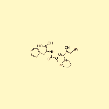 CC(C)C=C(C#N)C(=O)N1CCCC[C@@H]1COC(=O)NC(Cc1ccccc1)B(O)O